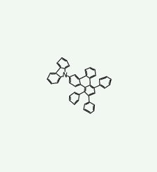 c1ccc(-c2cc(-c3ccccc3)c3c4ccccc4c4cc(-n5c6ccccc6c6ccccc65)ccc4c3c2-c2ccccc2)cc1